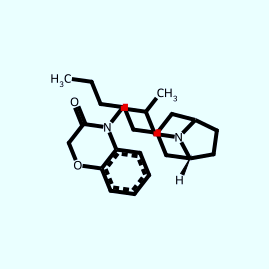 CCCCCC1CC2CC[C@H](C1)N2CC(C)CN1C(=O)COc2ccccc21